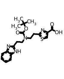 CC(C)(C)OC(=O)N(CCc1nc2ccccc2[nH]1)CCc1nc(C(=O)O)cs1